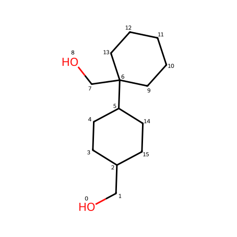 OCC1CCC(C2(CO)CCCCC2)CC1